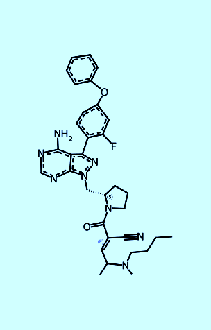 CCCCN(C)C(C)/C=C(\C#N)C(=O)N1CCC[C@H]1Cn1nc(-c2ccc(Oc3ccccc3)cc2F)c2c(N)ncnc21